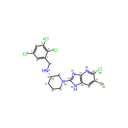 Clc1cc(Cl)c(Cl)c(CN[C@H]2CCCN(c3nc4nc(Cl)c(Br)cc4[nH]3)C2)c1